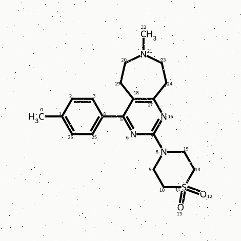 Cc1ccc(-c2nc(N3CCS(=O)(=O)CC3)nc3c2CCN(C)CC3)cc1